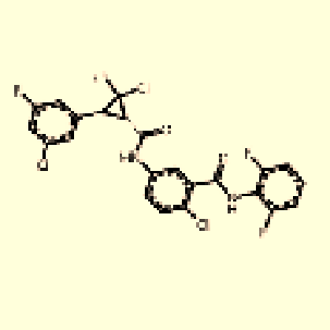 O=C(Nc1c(F)cccc1F)c1cc(NC(=O)[C@@H]2[C@@H](c3cc(F)cc(Cl)c3)C2(Cl)Cl)ccc1Cl